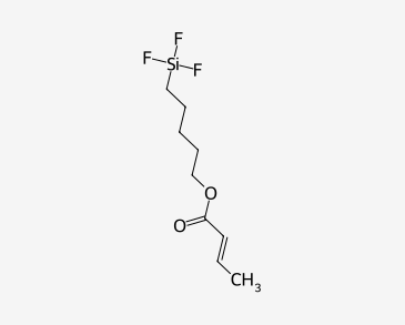 CC=CC(=O)OCCCCC[Si](F)(F)F